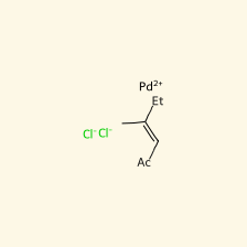 CCC(C)=CC(C)=O.[Cl-].[Cl-].[Pd+2]